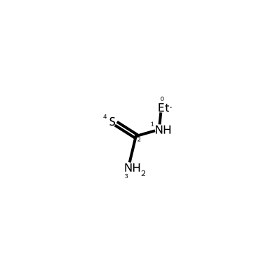 C[CH]NC(N)=S